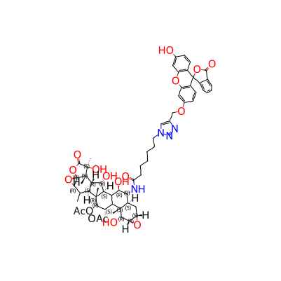 CC(=O)O[C@H]1C2C([C@@H](O)[C@H](NC(=O)CCCCCCn3cc(COc4ccc5c(c4)Oc4cc(O)ccc4C54OC(=O)c5ccccc54)nn3)[C@H]3C[C@@H]4O[C@@H]4[C@H](O)[C@]23C)[C@@H]2[C@@H](O)[C@@H]3[C@H](C(C)[C@H]4O[C@]45OC(=O)[C@@](C)(O)[C@]35C)[C@@]2(C)[C@H]1OC(C)=O